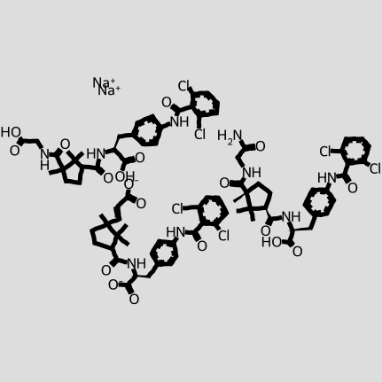 CC1(/C=C/C(=O)[O-])CCC(C(=O)N[C@@H](Cc2ccc(NC(=O)c3c(Cl)cccc3Cl)cc2)C(=O)[O-])C1(C)C.CC1(C(=O)NCC(=O)O)CCC(C(=O)N[C@@H](Cc2ccc(NC(=O)c3c(Cl)cccc3Cl)cc2)C(=O)O)C1(C)C.CC1(C)[C@H](C(=O)N[C@@H](Cc2ccc(NC(=O)c3c(Cl)cccc3Cl)cc2)C(=O)O)CC[C@@]1(C)C(=O)NCC(N)=O.[Na+].[Na+]